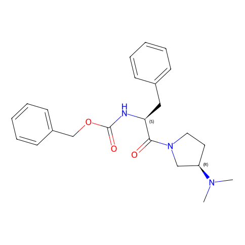 CN(C)[C@@H]1CCN(C(=O)[C@H](Cc2ccccc2)NC(=O)OCc2ccccc2)C1